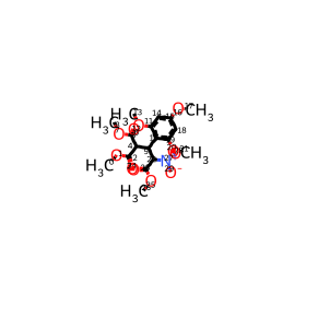 COC(=O)C(C(=O)OC)C(c1c(OC)cc(OC)cc1OC)C(C(=O)OC)[N+](=O)[O-]